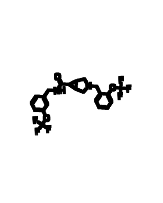 O=C(NCc1cccc(OC(F)(F)F)c1)C1C2CN(Cc3ccccc3OC(F)(F)F)CC21